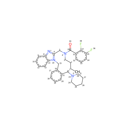 CCCCN(Cc1nc2ccccc2n1Cc1ccccc1CN1CCCCC1)C(=O)c1cccc(F)c1F